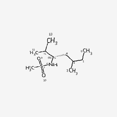 CCC(C)C[C@H](NS(C)(=O)=O)C(C)C